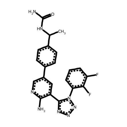 CC(NC(N)=O)c1ccc(-c2cnc(N)c(-c3nnnn3-c3cccc(F)c3F)c2)cc1